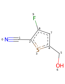 N#Cc1sc(CO)cc1F